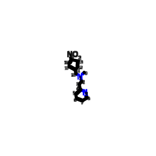 CN(CCc1ccccn1)Cc1ccc([N+](=O)[O-])cc1